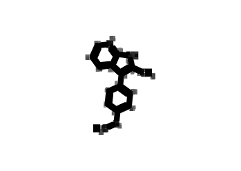 CSc1ccc(-c2c(C)[nH]c3ncccc23)cc1